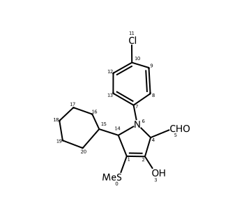 CSC1=C(O)C(C=O)N(c2ccc(Cl)cc2)C1C1CCCCC1